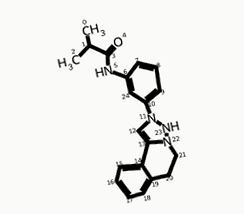 CC(C)C(=O)Nc1cccc(N2C=C3c4ccccc4CCN3N2)c1